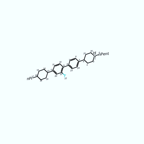 CCCCC[SiH]1CCC(c2ccc(-c3ccc(C4CCC(CCC)CC4)cc3F)cc2)CC1